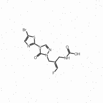 O=C(O)NC/C(=C/F)Cn1ncn(-c2ncc(Br)s2)c1=O